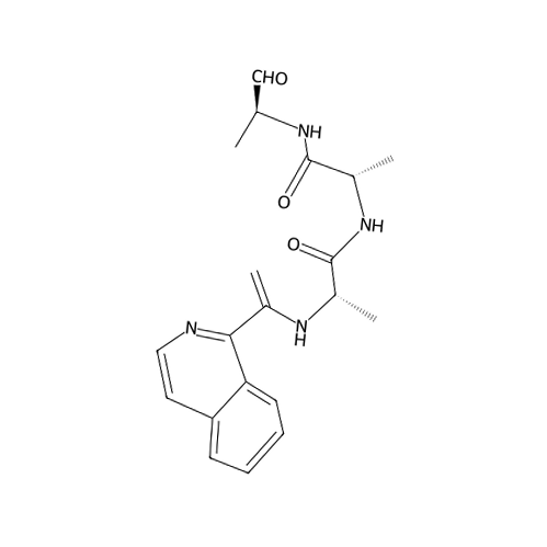 C=C(N[C@@H](C)C(=O)N[C@@H](C)C(=O)N[C@@H](C)C=O)c1nccc2ccccc12